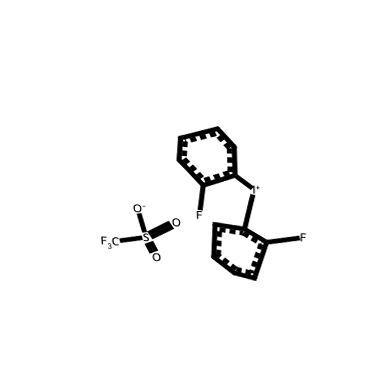 Fc1ccccc1[I+]c1ccccc1F.O=S(=O)([O-])C(F)(F)F